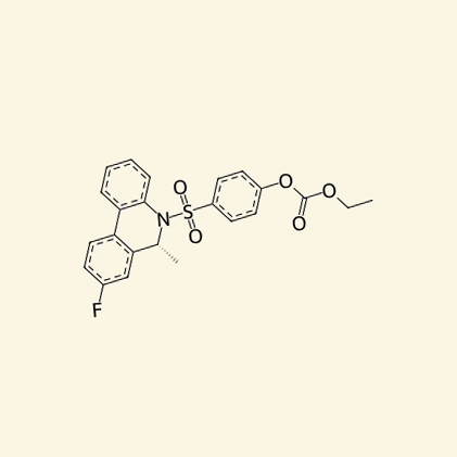 CCOC(=O)Oc1ccc(S(=O)(=O)N2c3ccccc3-c3ccc(F)cc3[C@H]2C)cc1